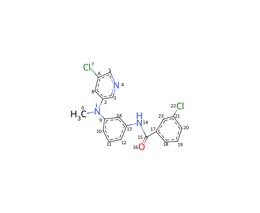 CN(c1cncc(Cl)c1)c1cccc(NC(=O)c2cccc(Cl)c2)c1